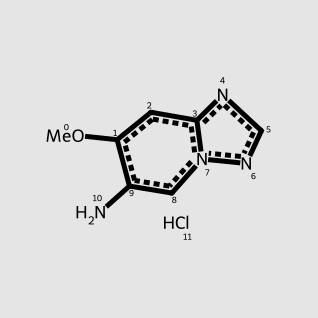 COc1cc2ncnn2cc1N.Cl